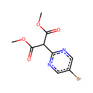 COC(=O)C(C(=O)OC)c1ncc(Br)cn1